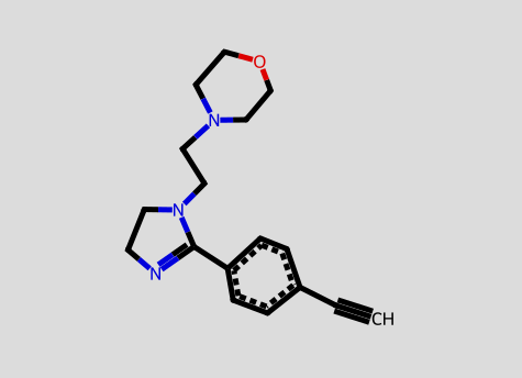 C#Cc1ccc(C2=NCCN2CCN2CCOCC2)cc1